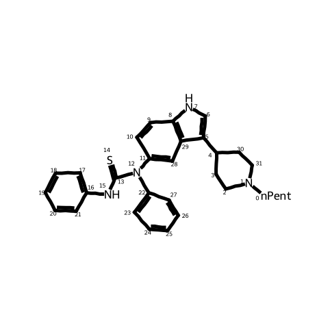 CCCCCN1CCC(c2c[nH]c3ccc(N(C(=S)Nc4ccccc4)c4ccccc4)cc23)CC1